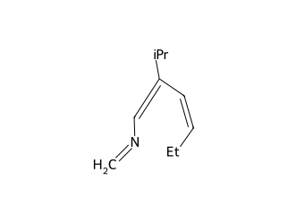 C=N/C=C(\C=C/CC)C(C)C